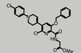 COC(=O)CNC(=O)c1nc(Cl)c(C2=CCN(c3ccc(Cl)cc3)CC2)cc1OCc1ccccc1